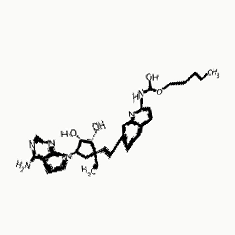 C=C[C@]1(CCc2ccc3ccc(NC(O)OCCCCC)nc3c2)C[C@@H](n2ccc3c(N)ncnc32)[C@H](O)[C@@H]1O